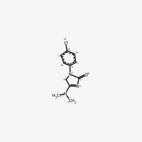 CN(C)C1=NC(=O)N(c2ccc(Cl)cc2)C1